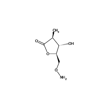 C[C@@H]1C(=O)O[C@H](CON)[C@H]1O